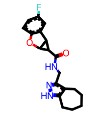 O=C(NCc1n[nH]c2c1CCCCC2)C1C2Oc3ccc(F)cc3C21